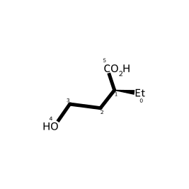 CC[C@@H](CCO)C(=O)O